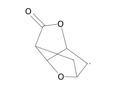 O=C1OC2[CH]C3CC1C2O3